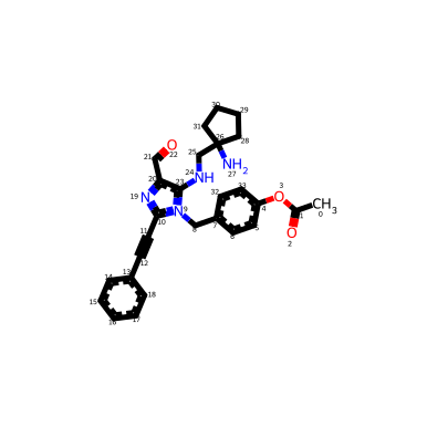 CC(=O)Oc1ccc(Cn2c(C#Cc3ccccc3)nc(C=O)c2NCC2(N)CCCC2)cc1